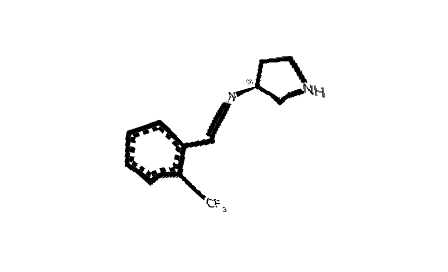 FC(F)(F)c1ccccc1C=N[C@H]1CCNC1